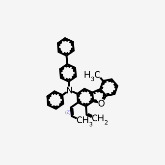 C=Cc1c(/C=C\C)c(N(c2ccccc2)c2ccc(-c3ccccc3)cc2)cc2c1oc1cccc(C)c12